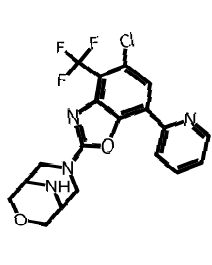 FC(F)(F)c1c(Cl)cc(-c2ccccn2)c2oc(N3CC4COCC(C3)N4)nc12